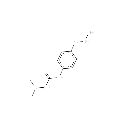 CN(C)NC(=S)Nc1ccc(NNC=O)cc1